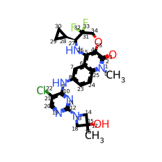 Cn1c(=O)c2c(c3cc(Nc4nc(N5CC(C)(O)C5)ncc4Cl)ccc31)N[C@@H](C1CC1)C(F)(F)CO2